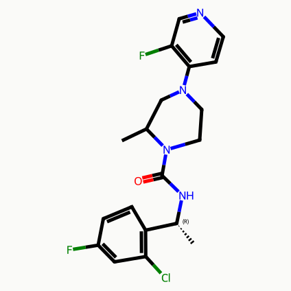 CC1CN(c2ccncc2F)CCN1C(=O)N[C@H](C)c1ccc(F)cc1Cl